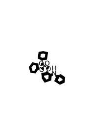 O=P(Oc1ccccc1Nc1ccccc1)(OC1CCCCC1)OC1CCCCC1